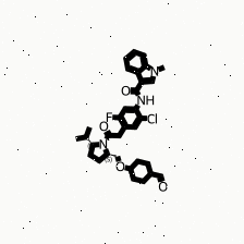 CC(C)[C@H]1CC[C@@H](COC2CCC(C=O)CC2)N1C(=O)Cc1cc(Cl)c(NC(=O)c2cn(C)c3ccccc23)cc1F